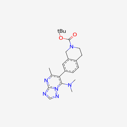 Cc1nc2ncnn2c(N(C)C)c1-c1ccc2c(c1)CN(C(=O)OC(C)(C)C)CC2